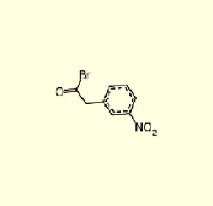 O=C(Br)Cc1cccc([N+](=O)[O-])c1